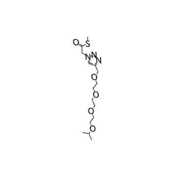 CSC(=O)Cn1cc(COCCOCCOCCOC(C)C)nn1